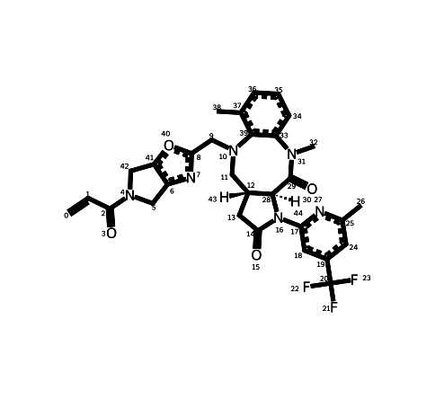 C=CC(=O)N1Cc2nc(CN3C[C@H]4CC(=O)N(c5cc(C(F)(F)F)cc(C)n5)[C@@H]4C(=O)N(C)c4cccc(C)c43)oc2C1